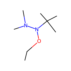 CCON(N(C)C)C(C)(C)C